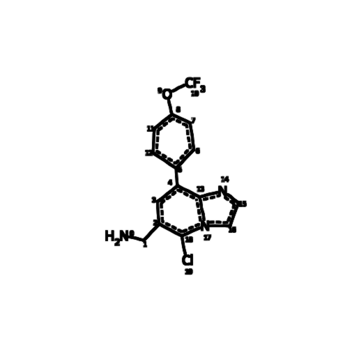 NCc1cc(-c2ccc(OC(F)(F)F)cc2)c2nccn2c1Cl